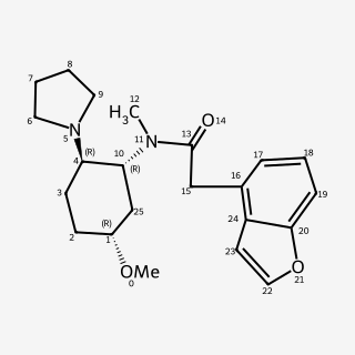 CO[C@@H]1CC[C@@H](N2CCCC2)[C@H](N(C)C(=O)Cc2cccc3occc23)C1